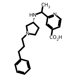 CC(N[C@@H]1CCN(CCCc2ccccc2)C1)c1cc(C(=O)O)ccn1